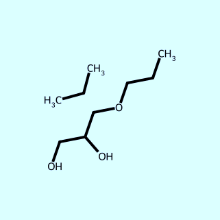 CCC.CCCOCC(O)CO